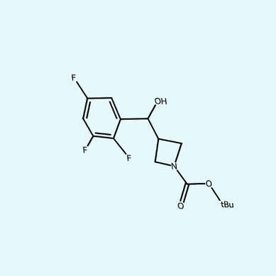 CC(C)(C)OC(=O)N1CC(C(O)c2cc(F)cc(F)c2F)C1